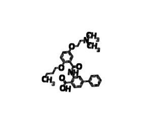 CCCCOc1ccc(OCCN(C)C)cc1C(=O)Nc1cc(-c2ccccc2)ccc1C(=O)O